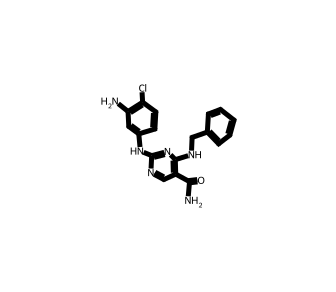 NC(=O)c1cnc(Nc2ccc(Cl)c(N)c2)nc1NCc1ccccc1